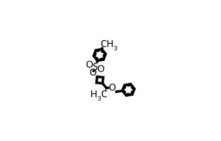 Cc1ccc(S(=O)(=O)OC2CC([C@@H](C)OCc3ccccc3)C2)cc1